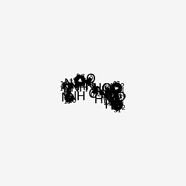 O=C(CNC(=O)c1cccc(NC2=NCCN2C2=NCCN2)c1)NC[C@H](NC(=O)[C@H]1C2CCC(CC2)N1S(=O)(=O)c1ccccc1)C(=O)O